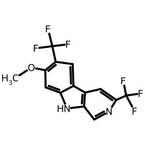 COc1cc2[nH]c3cnc(C(F)(F)F)cc3c2cc1C(F)(F)F